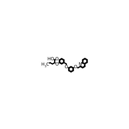 CCCC(Oc1cccc(COc2cccc(OCc3ccc4ccccc4n3)c2)c1)C(=O)O